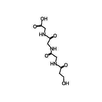 O=C(O)CNC(=O)CNC(=O)CNC(=O)CCO